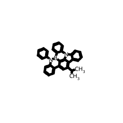 CC(C)c1cc2c3c4c1c1ccccc1n4-c1ccccc1B3N(c1ccccc1)c1ccccc1-2